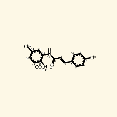 O=C(/C=C/c1ccc(Cl)cc1)Nc1cc(Cl)ccc1C(=O)O